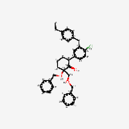 CCc1ccc(Cc2cc(C3CCCC(COCc4ccccc4)(OCc4ccccc4)C3=O)ccc2Cl)cc1